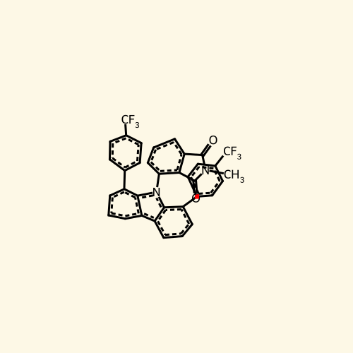 CN1C(=O)c2cccc(-n3c4c(-c5ccc(C(F)(F)F)cc5)cccc4c4cccc(-c5ccc(C(F)(F)F)cc5)c43)c2C1=O